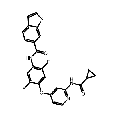 O=C(Nc1cc(F)c(Oc2ccnc(NC(=O)C3CC3)c2)cc1F)c1ccc2ccsc2c1